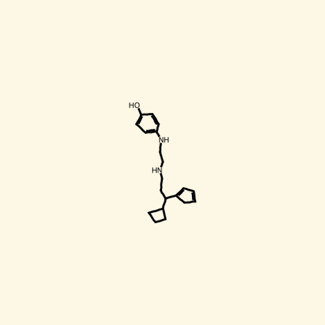 Oc1ccc(NCCNCCC(C2=CC=CC2)C2CCC2)cc1